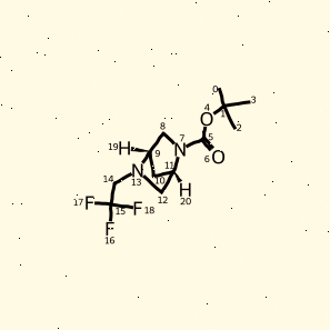 CC(C)(C)OC(=O)N1C[C@@H]2C[C@H]1CN2CC(F)(F)F